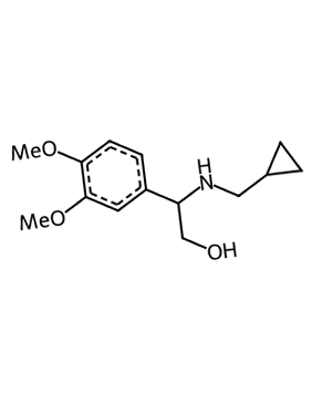 COc1ccc(C(CO)NCC2CC2)cc1OC